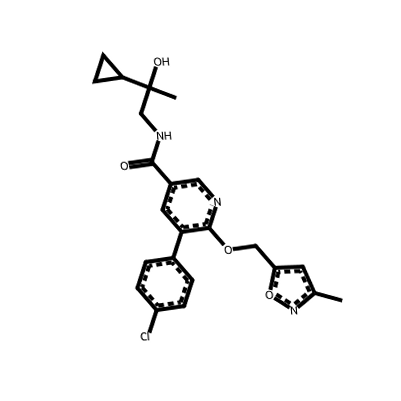 Cc1cc(COc2ncc(C(=O)NCC(C)(O)C3CC3)cc2-c2ccc(Cl)cc2)on1